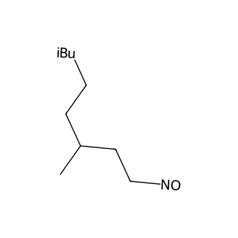 CCC(C)CCC(C)CCN=O